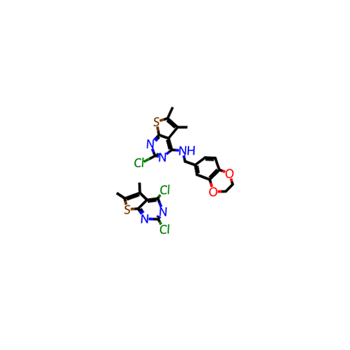 Cc1sc2nc(Cl)nc(Cl)c2c1C.Cc1sc2nc(Cl)nc(NCc3ccc4c(c3)OCCO4)c2c1C